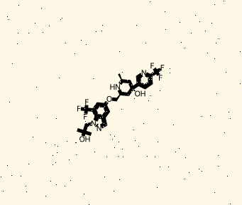 C[C@H]1C[C@@](O)(c2ccc(C(F)(F)F)nc2)C[C@@H](COc2cc(C(F)(F)F)c3c(cnn3CC(C)(C)O)c2)N1